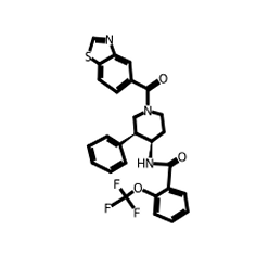 O=C(N[C@@H]1CCN(C(=O)c2ccc3scnc3c2)C[C@@H]1c1ccccc1)c1ccccc1OC(F)(F)F